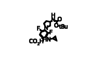 CC(C)(C)OC(=O)NC1CCN(c2c(F)cc(C(=O)O)c(NC3CC3)c2F)C1